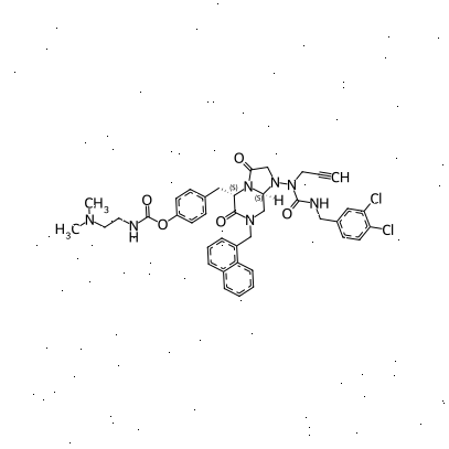 C#CCN(C(=O)NCc1ccc(Cl)c(Cl)c1)N1CC(=O)N2[C@@H](Cc3ccc(OC(=O)NCCN(C)C)cc3)C(=O)N(Cc3cccc4ccccc34)C[C@@H]21